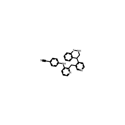 N#Cc1ccc(Nc2cccnc2Cc2cnccc2C2CNSc3ccccc32)cc1